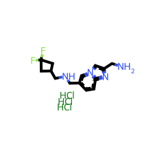 Cl.Cl.Cl.NCc1cn2cc(CNCC3CC(F)(F)C3)ccc2n1